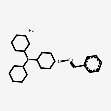 C1CCC(P(C2CCCCC2)C2CCCCC2)CC1.[Cl][Ru]=[CH]c1ccccc1.[Ru]